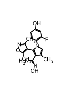 Cc1cn(-c2ccc(O)cc2F)c(-c2c(C)noc2C)c1/C(N)=N/O